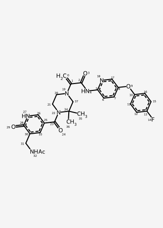 C=C(C(=O)Nc1ccc(Oc2ccc(F)cc2)cn1)N1CCN(C(=O)c2c[nH]c(=O)c(CNC(C)=O)c2)C(C)(C)C1